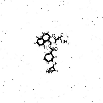 CN(C)C(=O)C[C@@H](NC(=O)c1cccc(OC2CNC2)c1)c1cccc2ccccc12